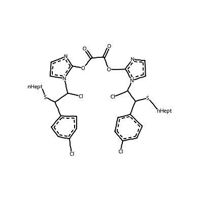 CCCCCCCSC(c1ccc(Cl)cc1)C(Cl)n1ccnc1OC(=O)C(=O)Oc1nccn1C(Cl)C(SCCCCCCC)c1ccc(Cl)cc1